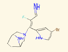 N=C/C(F)=C(\c1cc(Br)c[nH]1)N1CC2CCC(C1)N2